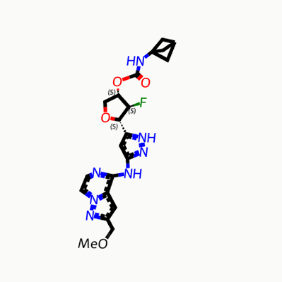 COCc1cc2c(Nc3cc([C@@H]4OC[C@H](OC(=O)NC56CC(C5)C6)[C@H]4F)[nH]n3)nccn2n1